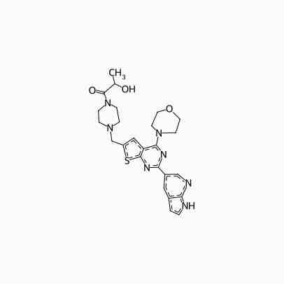 CC(O)C(=O)N1CCN(Cc2cc3c(N4CCOCC4)nc(-c4cnc5[nH]ccc5c4)nc3s2)CC1